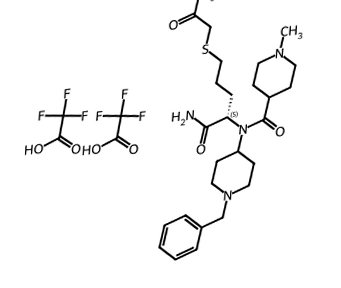 CN1CCC(C(=O)N(C2CCN(Cc3ccccc3)CC2)[C@@H](CCCSCC(=O)C(F)(F)F)C(N)=O)CC1.O=C(O)C(F)(F)F.O=C(O)C(F)(F)F